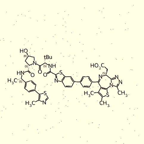 Cc1ncsc1-c1ccc([C@H](C)NC(=O)[C@@H]2C[C@@H](O)CN2C(=O)[C@@H](NC(=O)c2nc3ccc(-c4ccc(C5=N[C@@H](CC(=O)O)c6nnc(C)n6-c6sc(C)c(C)c65)cc4)cc3s2)C(C)(C)C)cc1